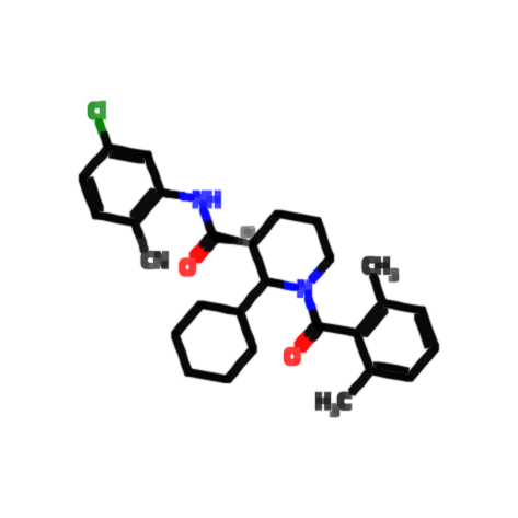 Cc1cccc(C)c1C(=O)N1CCC[C@H](C(=O)Nc2cc(Cl)ccc2C#N)C1C1CCCCC1